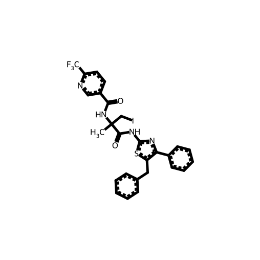 CC(CI)(NC(=O)c1ccc(C(F)(F)F)nc1)C(=O)Nc1nc(-c2ccccc2)c(Cc2ccccc2)s1